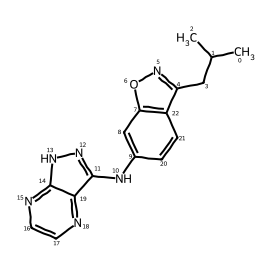 CC(C)Cc1noc2cc(Nc3n[nH]c4nccnc34)ccc12